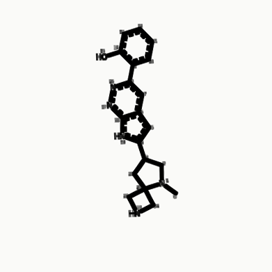 CN1CC(c2cc3cc(-c4ccccc4O)nnc3[nH]2)CC12CNC2